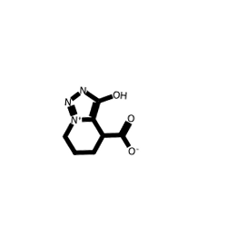 O=C([O-])C1CCC[N+]2=N[N]C(O)=C12